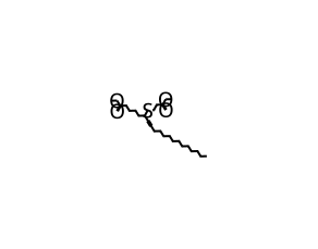 CCCCCCCCCCCCC#CC(CCCCC(=O)OC)SCCC(=O)OC